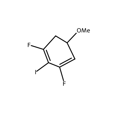 COC1C=C(F)C(I)=C(F)C1